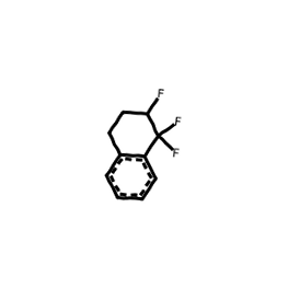 FC1CCc2ccccc2C1(F)F